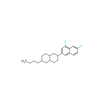 CCCCC1CCC2CC(c3cc(F)c4cc(F)ccc4c3)CCC2C1